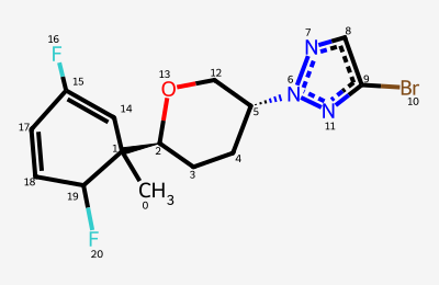 CC1([C@@H]2CC[C@@H](n3ncc(Br)n3)CO2)C=C(F)C=CC1F